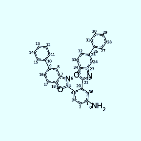 Nc1ccc(-c2nc3cc(-c4ccccc4)ccc3o2)c(-c2nc3cc(-c4ccccc4)ccc3o2)c1